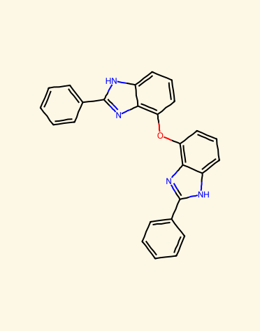 c1ccc(-c2nc3c(Oc4cccc5[nH]c(-c6ccccc6)nc45)cccc3[nH]2)cc1